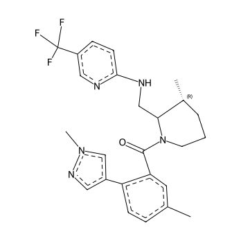 Cc1ccc(-c2cnn(C)c2)c(C(=O)N2CCC[C@@H](C)C2CNc2ccc(C(F)(F)F)cn2)c1